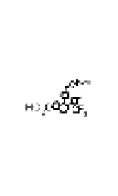 Cc1ccc(C2=C(c3ccc(C=C4CN(CCCF)C4)cc3)c3ccc(C(=O)O)cc3CCC2)c(C(F)(F)F)c1